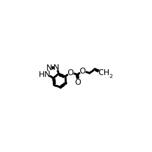 C=CCOC(=O)Oc1cccc2[nH]nnc12